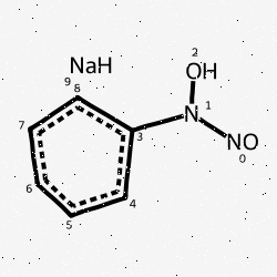 O=NN(O)c1ccccc1.[NaH]